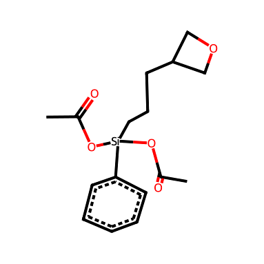 CC(=O)O[Si](CCCC1COC1)(OC(C)=O)c1ccccc1